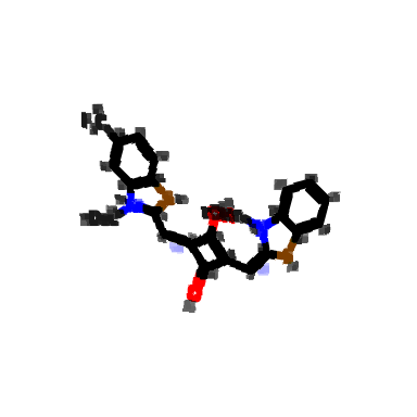 CCCCCCCCCCN1/C(=C\C2=C(O)C(=C\c3sc4ccc(C(F)(F)F)cc4[n+]3CCCCCCCCCC)/C2=O)Sc2ccccc21